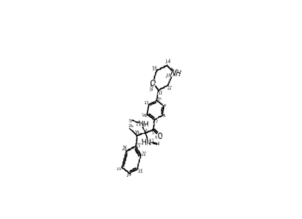 CNC(NC)(C(=O)c1ccc(C2CNCCO2)cc1)C(C)c1ccccc1